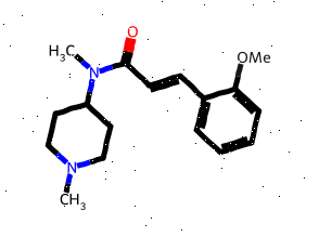 COc1ccccc1C=CC(=O)N(C)C1CCN(C)CC1